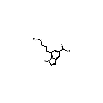 COCCCc1cc(C(=O)O)cc2ccn(Cl)c12